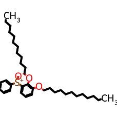 CCCCCCCCCCCCOc1cccc([S+]([O-])c2ccccc2)c1OCCCCCCCCCCCC